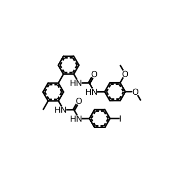 COc1ccc(NC(=O)Nc2ccccc2-c2ccc(C)c(NC(=O)Nc3ccc(I)cc3)c2)cc1OC